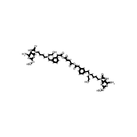 CCCCOc1nc(N)c2[nH]c(=O)n(CCCCN(CCO)Cc3cccc(CC(=O)OC(=O)/C=C/C(=O)OC(=O)Cc4cccc(CN(CCO)CCCCn5c(=O)[nH]c6c(N)nc(OCCCC)nc65)c4)c3)c2n1